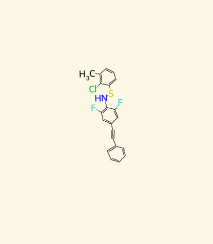 Cc1cccc(SNc2c(F)cc(C#Cc3ccccc3)cc2F)c1Cl